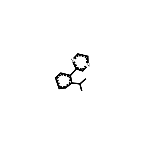 CC(C)c1ccccc1-c1cnccn1